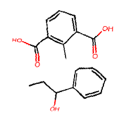 CCC(O)c1ccccc1.Cc1c(C(=O)O)cccc1C(=O)O